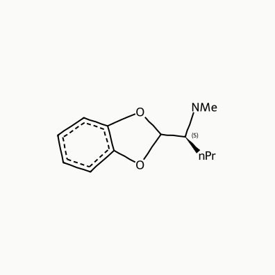 CCC[C@H](NC)C1Oc2ccccc2O1